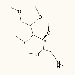 CNCC(OC)[C@H](OC)C(OC)C(COC)OC